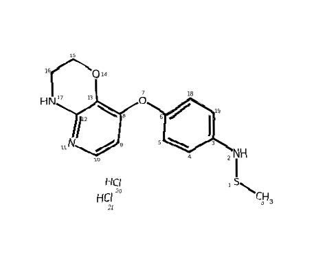 CSNc1ccc(Oc2ccnc3c2OCCN3)cc1.Cl.Cl